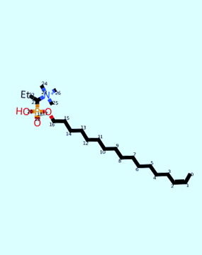 C/C=C\CCCCCCCCCCCCCCOP(=O)(O)C(CC)[N+](C)(C)C